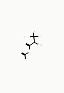 CC(=O)NC(=O)C(N)C(C)(C)S